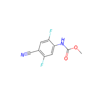 COC(=O)Nc1cc(F)c(C#N)cc1F